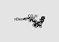 CCCCCCCCCCCCOCCC(NC(=O)CCC(=O)O[C@]1(CC)C(=O)OCc2c1cc1n(c2=O)Cc2cc3ccccc3nc2-1)C(=O)O